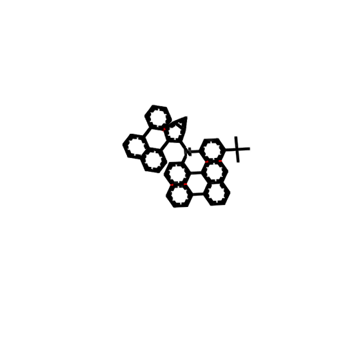 CC(C)(C)c1ccc(N(c2ccccc2-c2cccc3cccc(-c4ccccc4)c23)c2c3cc-3cc2-c2cccc3cccc(-c4ccccc4)c23)cc1